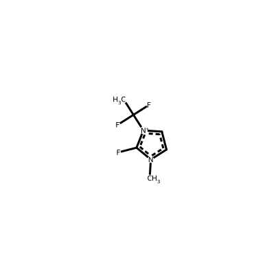 Cn1cc[n+](C(C)(F)F)c1F